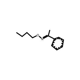 CCCCON=C(C)c1ccccc1